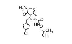 CC(C)CONC(=O)C1=CN(Cc2ccc(Cl)cc2)C2C(=O)[C@@H](N)CSC2=C1